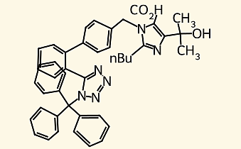 CCCCc1nc(C(C)(C)O)c(C(=O)O)n1Cc1ccc(-c2ccccc2-c2nnnn2C(c2ccccc2)(c2ccccc2)c2ccccc2)cc1